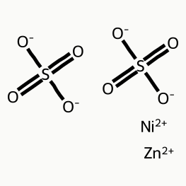 O=S(=O)([O-])[O-].O=S(=O)([O-])[O-].[Ni+2].[Zn+2]